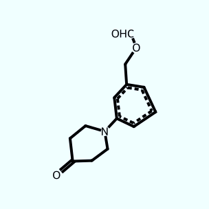 O=COCc1cccc(N2CCC(=O)CC2)c1